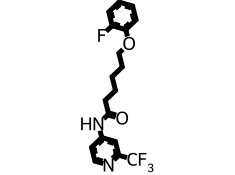 O=C(CCCCCOc1ccccc1F)Nc1ccnc(C(F)(F)F)c1